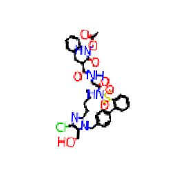 CCCCc1nc(Cl)c(CO)n1Cc1ccc(-c2ccccc2S(=O)(=O)NC(=O)CNC(=O)C(Cc2ccccc2)C(=O)NOC(C)=O)cc1